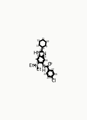 CCN(CC)c1cc2[nH]c(C3CCCCC3)nc2cc1NC(=O)c1ccc(Cl)cc1